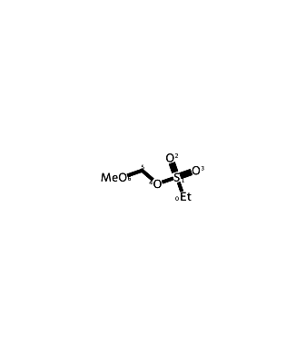 CCS(=O)(=O)OCOC